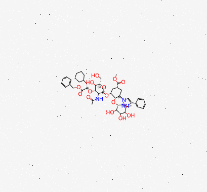 COC(=O)C1CC(O[C@@H]2O[C@@H](CO)C(O)C(O[C@@H](CC3CCCCC3)C(=O)OCc3ccccc3)C2NC(C)=O)C(OC2CC(C)C(O)C(O)C2O)[C@H](n2cc(-c3ccccc3)nn2)C1